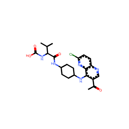 CC(=O)c1cnc2ccc(Cl)nc2c1NC1CCC(NC(=O)C(NC(=O)O)C(C)C)CC1